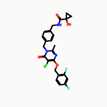 Cc1nc(OCc2ccc(F)cc2F)c(Cl)c(=O)n1Cc1ccc(CNC(=O)C2(O)CC2)cc1